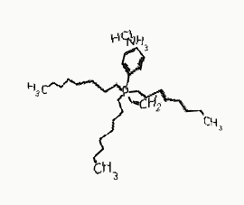 C=CP(CCCCCCCC)(CCCCCCCC)(CCCCCCCC)c1ccccc1.Cl.N